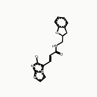 O=C(C=Cc1c(Cl)nc2sccn12)NCC1Cc2ccccc2O1